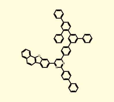 c1ccc(-c2ccc(-c3nc(-c4ccc(-c5cc(-c6ccccc6)cc(-c6ccc(-c7ccccc7)cc6-c6ccccc6)c5)cc4)cc(-c4ccc5c(c4)oc4c6ccccc6ccc54)n3)cc2)cc1